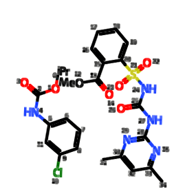 CC(C)OC(=O)Nc1cccc(Cl)c1.COC(=O)c1ccccc1S(=O)(=O)NC(=O)Nc1nc(C)cc(C)n1